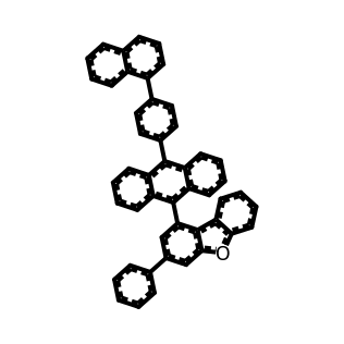 c1ccc(-c2cc(-c3c4ccccc4c(-c4ccc(-c5cccc6ccccc56)cc4)c4ccccc34)c3c(c2)oc2ccccc23)cc1